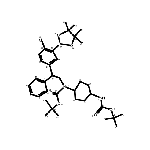 CC(C)(C)OC(=O)NC1CCC(N(CC(c2ccccc2)c2ccc(Cl)c(B3OC(C)(C)C(C)(C)O3)c2)C(=O)OC(C)(C)C)CC1